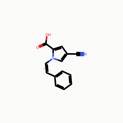 N#Cc1cc(C(=O)O)n(/C=C\c2ccccc2)c1